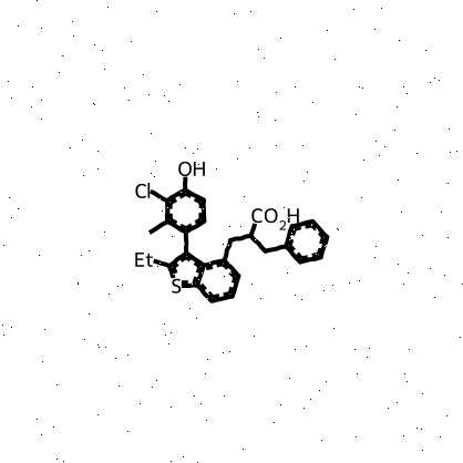 CCc1sc2cccc(CC(Cc3ccccc3)C(=O)O)c2c1-c1ccc(O)c(Cl)c1C